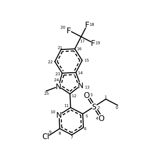 CCS(=O)(=O)c1ccc(Cl)nc1-c1nc2cc(C(F)(F)F)ccc2n1C